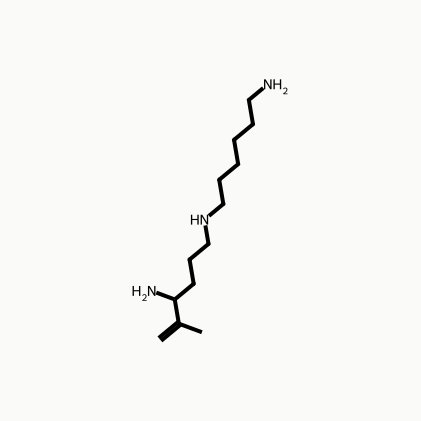 C=C(C)C(N)CCCNCCCCCCN